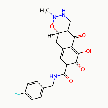 CN1NCC2C(=O)C3=C(O)C(=O)C(C(=O)NCc4ccc(F)cc4)C=C3C[C@@H]2O1